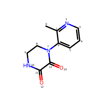 Cc1ncccc1N1CCNC(=O)C1=O